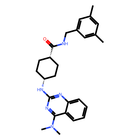 Cc1cc(C)cc(CNC(=O)[C@H]2CC[C@@H](Nc3nc(N(C)C)c4ccccc4n3)CC2)c1